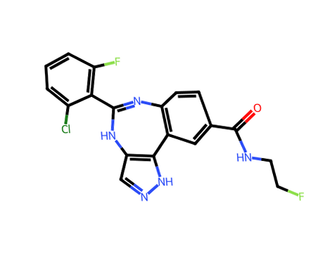 O=C(NCCF)c1ccc2c(c1)-c1[nH]ncc1NC(c1c(F)cccc1Cl)=N2